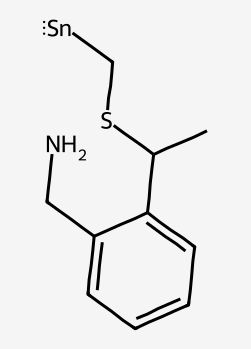 CC(S[CH2][Sn])c1ccccc1CN